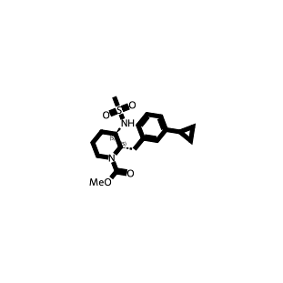 COC(=O)N1CCC[C@H](NS(C)(=O)=O)[C@@H]1Cc1cccc(C2CC2)c1